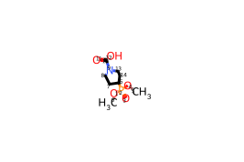 COP(=O)(OC)C1CCN(C(=O)O)CC1